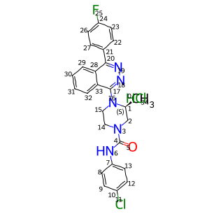 C[C@H]1CN(C(=O)Nc2ccc(Cl)cc2)CCN1c1nnc(-c2ccc(F)cc2)c2ccccc12.Cl